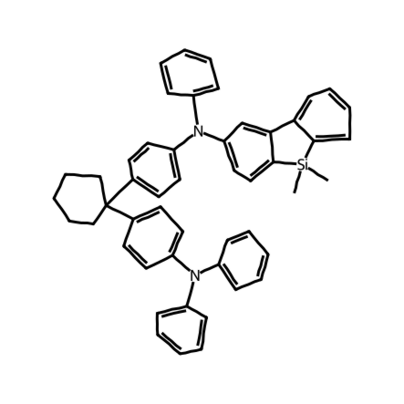 C[Si]1(C)c2ccccc2-c2cc(N(c3ccccc3)c3ccc(C4(c5ccc(N(c6ccccc6)c6ccccc6)cc5)CCCCC4)cc3)ccc21